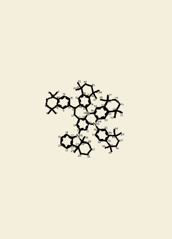 CC1(C)CCC(C)(C)c2cc(C3Cc4cc(N5c6ccccc6C6(C)CCCCC56C)cc5c4B(c4cc6c(cc43)C(C)(C)CCC6(C)C)c3cc4c(cc3N5c3ccc5c(c3)C(C)(C)CCC5(C)C)C(C)(C)CCC4(C)C)ccc21